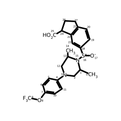 CC1CN(c2ccc(OC(F)(F)F)cc2)CC(C)N1[S+]([O-])c1ccc2c(c1)C(C(=O)O)CC2